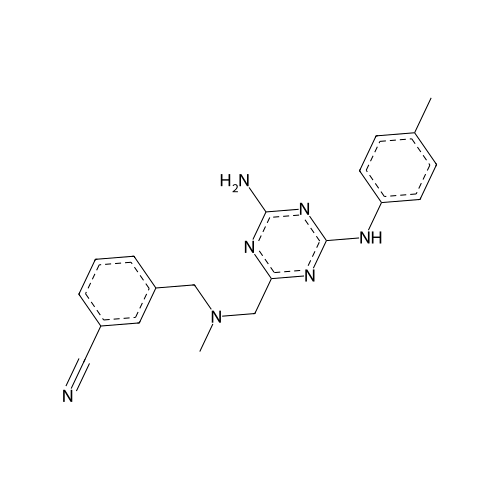 Cc1ccc(Nc2nc(N)nc(CN(C)Cc3cccc(C#N)c3)n2)cc1